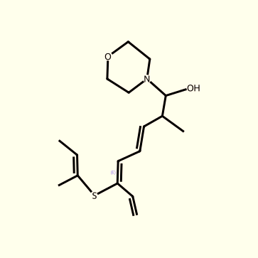 C=C/C(=C\C=CC(C)C(O)N1CCOCC1)SC(C)=CC